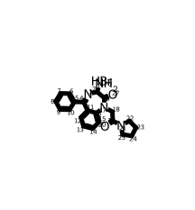 Br.NC1N=C(c2ccccc2)c2ccccc2N(CC(=O)N2CCCC2)C1=O